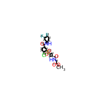 COC(=O)CNC(=O)[C@H]1C[C@@H](S(=O)(=O)c2cc(C(=O)Nc3ccc(F)c(F)c3)ccc2Cl)C1